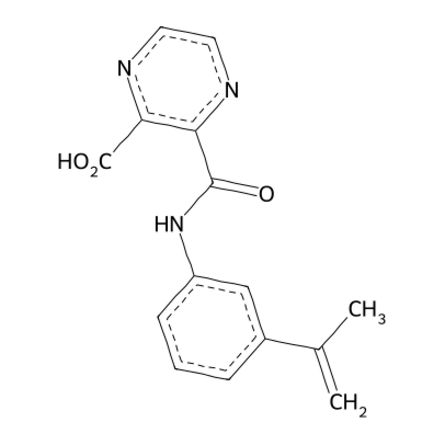 C=C(C)c1cccc(NC(=O)c2nccnc2C(=O)O)c1